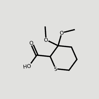 COC1(OC)CCCSC1C(=O)O